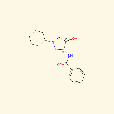 O=C(N[C@@H]1CN(C2CCCCC2)C[C@H]1O)c1ccccc1